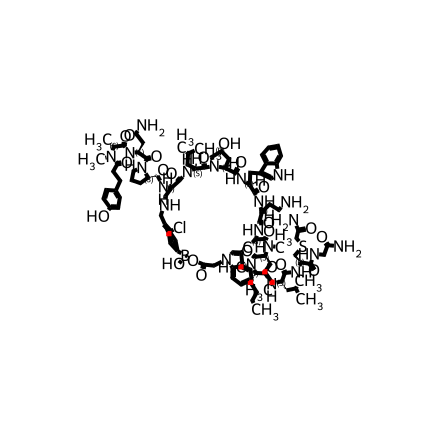 CCCC[C@@H](C(=O)N(C)[C@@H](CCCC)C(=O)N[C@@H](CC(C)C)C(=O)N[C@@H](CSCC(N)=O)C(=O)NCC(N)=O)N(C)C(=O)[C@@H]1Cc2cn(c3ccccc23)CC(=O)OB(O)c2ccc(c(Cl)c2)CNC[C@H](NC(=O)[C@@H]2CCCN2C(=O)[C@H](CC(N)=O)NC(=O)[C@H](C)N(C)C(=O)CCc2ccc(O)cc2)C(=O)N[C@@H](CC(C)C)C(=O)N2C[C@H](O)C[C@H]2C(=O)N[C@@H](Cc2c[nH]c3ccccc23)C(=O)N[C@@H](CCN)C(=O)N1